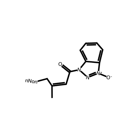 CCCCCCCCCCC(C)=CC(=O)n1n[n+]([O-])c2ccccc21